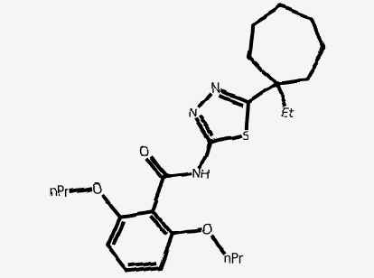 CCCOc1cccc(OCCC)c1C(=O)Nc1nnc(C2(CC)CCCCCC2)s1